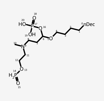 CCCCCCCCCCCCCCOC(CCN(C)CCO[PH2]=O)OP(=O)(O)O